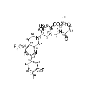 C[C@H]1CN(C[C@H](CC(O)N2CCc3c(nc(-c4ccc(F)c(F)c4)nc3C(F)(F)F)C2)N(C(=O)O)C(C)(C)C)C(=O)CO1